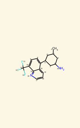 CC1CC(N)CC(c2ccc(C(F)(F)F)c3ncccc23)C1